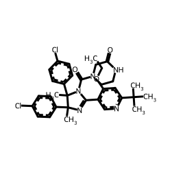 CCOc1cc(C(C)(C)C)ncc1C1=NC(C)(c2ccc(Cl)cc2)C(C)(c2ccc(Cl)cc2)N1C(=O)N1CCNC(=O)C1